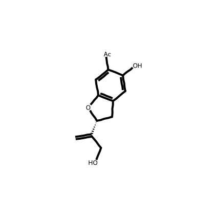 C=C(CO)[C@H]1Cc2cc(O)c(C(C)=O)cc2O1